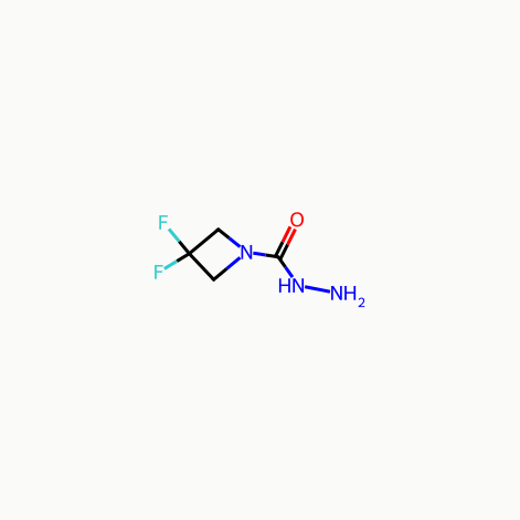 NNC(=O)N1CC(F)(F)C1